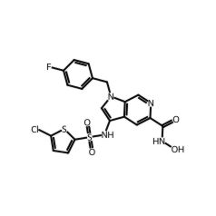 O=C(NO)c1cc2c(NS(=O)(=O)c3ccc(Cl)s3)cn(Cc3ccc(F)cc3)c2cn1